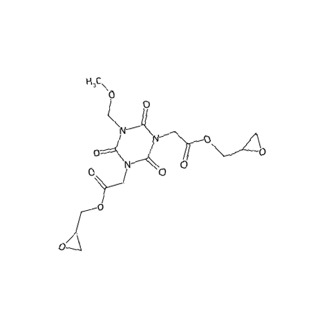 COCn1c(=O)n(CC(=O)OCC2CO2)c(=O)n(CC(=O)OCC2CO2)c1=O